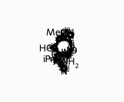 CCn1c(-c2cccnc2[C@H](C)OC)c2c3cc(ccc31)-c1cc(O)cc(c1)C[C@H](NC(=O)[C@H](C(C)C)N(C)C(=O)[C@H]1Cc3cnccc3[C@H]1N)C(=O)N1CCC[C@H](N1)C(=O)OCC(C)(C)C2